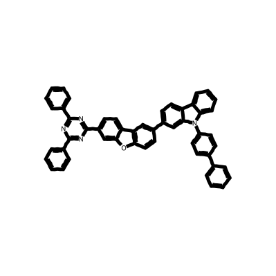 c1ccc(-c2ccc(-n3c4ccccc4c4ccc(-c5ccc6oc7cc(-c8nc(-c9ccccc9)nc(-c9ccccc9)n8)ccc7c6c5)cc43)cc2)cc1